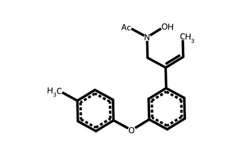 CC=C(CN(O)C(C)=O)c1cccc(Oc2ccc(C)cc2)c1